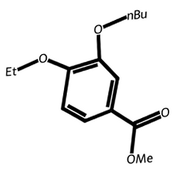 CCCCOc1cc(C(=O)OC)ccc1OCC